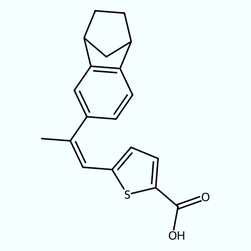 C/C(=C/c1ccc(C(=O)O)s1)c1ccc2c(c1)C1CCC2C1